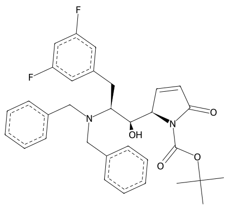 CC(C)(C)OC(=O)N1C(=O)C=C[C@@H]1[C@@H](O)[C@H](Cc1cc(F)cc(F)c1)N(Cc1ccccc1)Cc1ccccc1